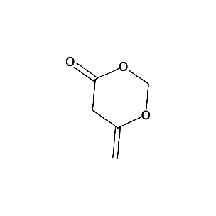 C=C1CC(=O)OCO1